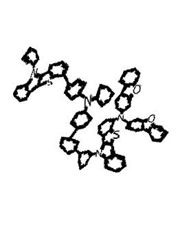 c1ccc(N(c2ccc(-c3cccc(-c4cccc(-n5c6ccccc6c6sc7c(N(c8ccc9c(c8)oc8ccccc89)c8ccc9c(c8)oc8ccccc89)cccc7c65)c4)c3)cc2)c2ccc(-c3cccc4c3sc3c5ccccc5n(-c5ccccc5)c43)cc2)cc1